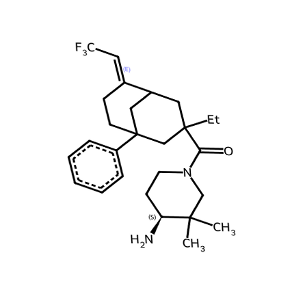 CCC1(C(=O)N2CC[C@H](N)C(C)(C)C2)CC2CC(c3ccccc3)(CC/C2=C\C(F)(F)F)C1